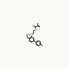 C=C(C)C(=O)OCCOc1cc(-c2ccc(C)cc2)ccc1CO